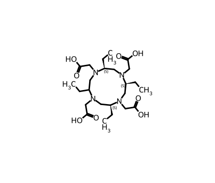 CCC1CN(CC(=O)O)[C@@H](CC)CN(CC(=O)O)[C@@H](CC)CN(CC(=O)O)[C@@H](CC)CN1CC(=O)O